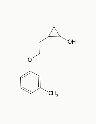 Cc1cccc(OCCC2CC2O)c1